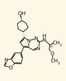 COC[C@H](C)Nc1ncc2c(-c3ccc4ocnc4c3)cc([C@H]3CC[C@H](O)CC3)n2n1